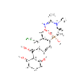 CC(=NOCc1c(S(C)(=O)=O)ccc(C(=O)C2C(=O)CCCC2=O)c1Cl)N(C)C